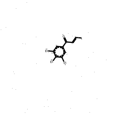 C/C=C/C(=O)c1cc(CC)c(CC)c(CC)c1